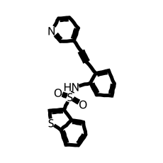 O=S(=O)(Nc1ccccc1C#Cc1cccnc1)c1csc2ccccc12